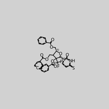 O=C(OCC1[C@@H](COC(=O)c2ccccc2)O[C@@H](n2ccc(=S)[nH]c2=O)C1(OC(=O)c1ccccc1)C(F)(F)F)c1ccccc1